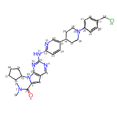 CN(C)C(=O)c1cc2cnc(Nc3ccc(C4CCN(c5ccc(CCl)cc5)CC4)cn3)nc2n1C1CCCC1